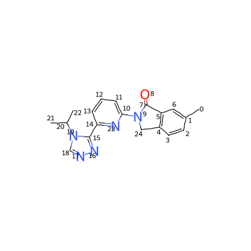 Cc1ccc2c(c1)C(=O)N(c1cccc(-c3nncn3C(C)C)n1)C2